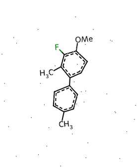 COc1ccc(-c2ccc(C)cc2)c(C)c1F